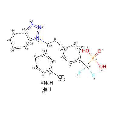 O=P(O)(O)C(F)(F)c1ccc(CC(c2cccc(C(F)(F)F)c2)n2nnc3ccccc32)cc1.[NaH].[NaH]